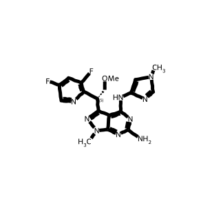 COC[C@@H](c1ncc(F)cc1F)c1nn(C)c2nc(N)nc(Nc3cn(C)cn3)c12